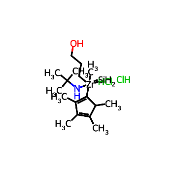 CC1=C(C)C(C)[C]([Zr]([CH3])(=[SiH2])([CH2]CCO)[NH]C(C)(C)C)=C1C.Cl.Cl